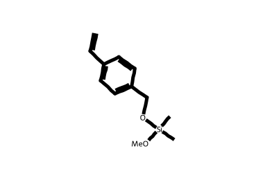 C=Cc1ccc(CO[Si](C)(C)OC)cc1